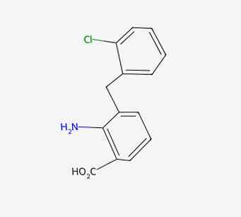 Nc1c(Cc2ccccc2Cl)cccc1C(=O)O